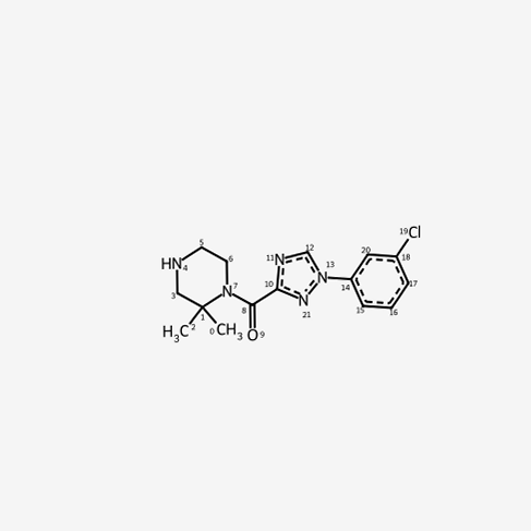 CC1(C)CNCCN1C(=O)c1ncn(-c2cccc(Cl)c2)n1